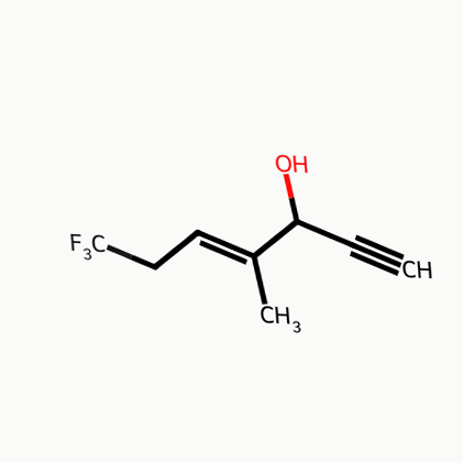 C#CC(O)/C(C)=C/CC(F)(F)F